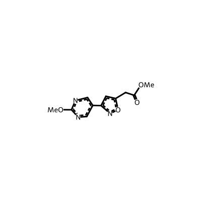 COC(=O)Cc1cc(-c2cnc(OC)nc2)no1